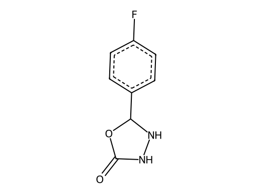 O=C1NNC(c2ccc(F)cc2)O1